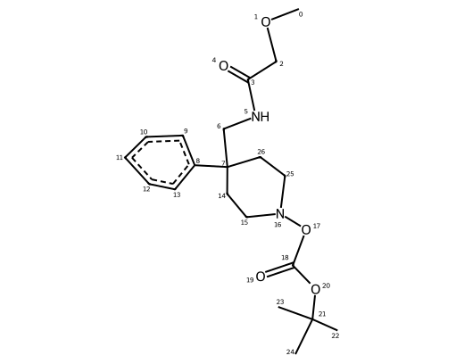 COCC(=O)NCC1(c2ccccc2)CCN(OC(=O)OC(C)(C)C)CC1